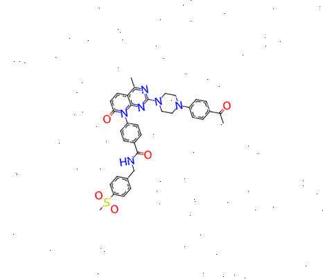 CC(=O)c1ccc(N2CCN(c3nc(C)c4ccc(=O)n(-c5ccc(C(=O)NCc6ccc(S(C)(=O)=O)cc6)cc5)c4n3)CC2)cc1